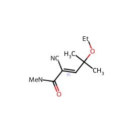 CCOC(C)(C)/C=C(\C#N)C(=O)NC